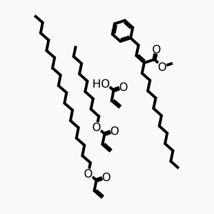 C=CC(=O)O.C=CC(=O)OCCCCCCCCC.C=CC(=O)OCCCCCCCCCCCCCCCCCC.CCCCCCCCCCCCC(=CCc1ccccc1)C(=O)OC